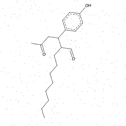 CCCCCCCCC(C=O)C(CC(C)=O)c1ccc(O)cc1